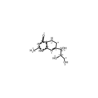 Nc1nc(=O)c2c([nH]1)N=C([C@@H](O)[C@H](O)CO)CN2